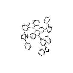 c1ccc(-c2ccc(-c3ccccc3)n2-c2ccc3c(-c4cccc5ccccc45)c4cc(-n5c(-c6ccccc6)ccc5-c5ccccc5)ccc4c(-c4ccc5oc6ccccc6c5c4)c3c2)cc1